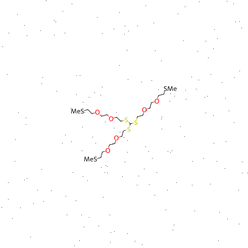 CSCCOCCOCCSC(SCCOCCOCCSC)SCCOCCOCCSC